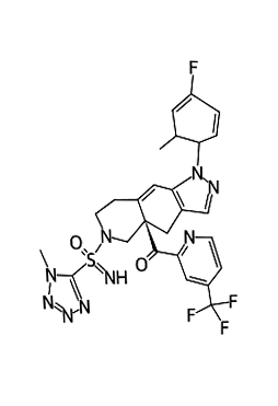 CC1C=C(F)C=CC1n1ncc2c1C=C1CCN(S(=N)(=O)c3nnnn3C)C[C@@]1(C(=O)c1cc(C(F)(F)F)ccn1)C2